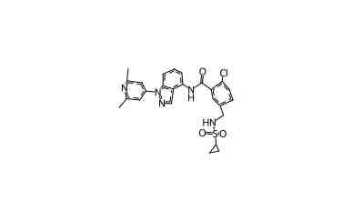 Cc1cc(-n2ncc3c(NC(=O)c4cc(CNS(=O)(=O)C5CC5)ccc4Cl)cccc32)cc(C)n1